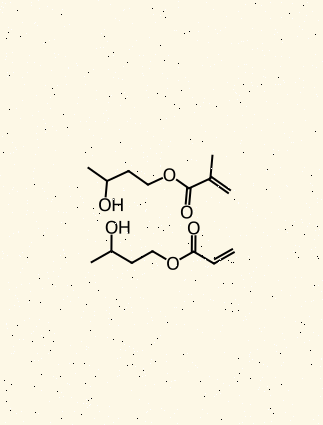 C=C(C)C(=O)OCCC(C)O.C=CC(=O)OCCC(C)O